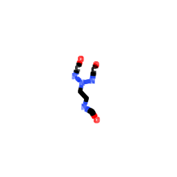 O=C=NCCN(N=C=O)N=C=O